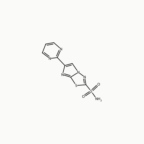 NS(=O)(=O)c1nn2cc(-c3ncccn3)nc2s1